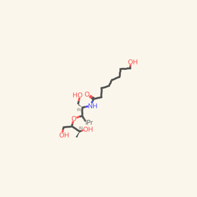 CC(C)C(OC(CO)[C@H](C)O)[C@H](CO)NC(=O)CCCCCCCO